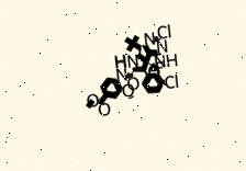 COC(=O)c1ccc(NC(=O)[C@@H]2N[C@@H](CC(C)(C)C)[C@]3(C(=O)Nc4nc(Cl)ncc43)[C@H]2c2cccc(Cl)c2F)c(OC)c1